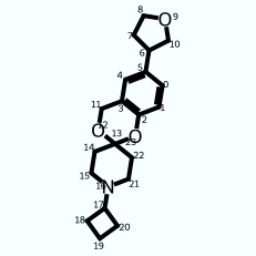 c1cc2c(cc1C1CCOC1)COC1(CCN(C3CCC3)CC1)O2